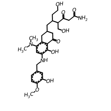 COc1ccc(CNc2cc(N(C)C)c3c(c2O)C(=O)CC(CC(CCO)C(CO)C(=O)CC(N)=O)C3)cc1O